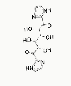 O=C(c1ncc[nH]1)C(O)C(O)C(O)C(O)C(=O)c1ncc[nH]1